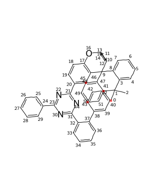 CC1(C)c2ccccc2C2(c3ccccc3Oc3ccc(-c4nc(-c5ccccc5)nc(-c5ccccc5-c5ccccc5)n4)cc32)c2ccccc21